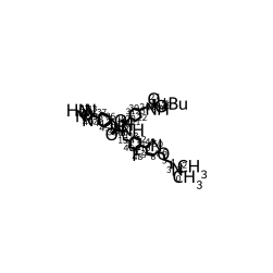 CN(C)CCCOc1ccc(-c2ccc(C[C@H](NC(=O)C3CCC(CNC(=O)OC(C)(C)C)CC3)C(=O)Nc3ccc(-c4nn[nH]n4)cc3)cc2F)cn1